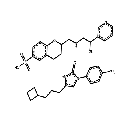 Nc1ccc(-n2cc(CCCC3CCC3)[nH]c2=O)cc1.O=S(=O)(O)c1ccc2c(c1)CCC(CNCC(O)c1cccnc1)O2